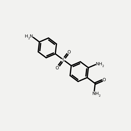 NC(=O)c1ccc(S(=O)(=O)c2ccc(N)cc2)cc1N